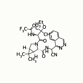 CCOC(C)(C)[C@H](NC(=O)C(F)(F)F)C(=O)N1C[C@H]2[C@@H]([C@H]1C(=O)NC(C#N)c1nncc3ccccc13)C2(C)C